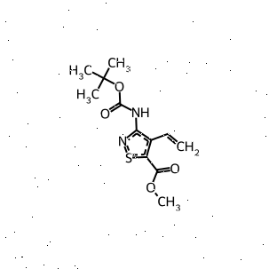 C=Cc1c(NC(=O)OC(C)(C)C)nsc1C(=O)OC